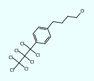 [O]CCCCc1ccc(C(Cl)(Cl)C(Cl)(Cl)C(Cl)(Cl)Cl)cc1